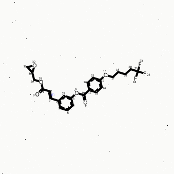 O=C(/C=C/c1cccc(OC(=O)c2ccc(OCCCCC(F)(F)F)cc2)c1)OCC1CO1